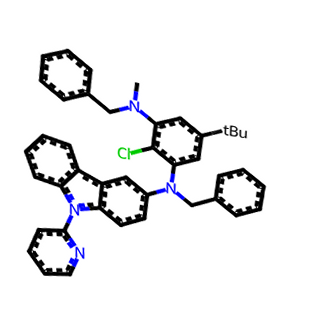 CN(Cc1ccccc1)c1cc(C(C)(C)C)cc(N(Cc2ccccc2)c2ccc3c(c2)c2ccccc2n3-c2ccccn2)c1Cl